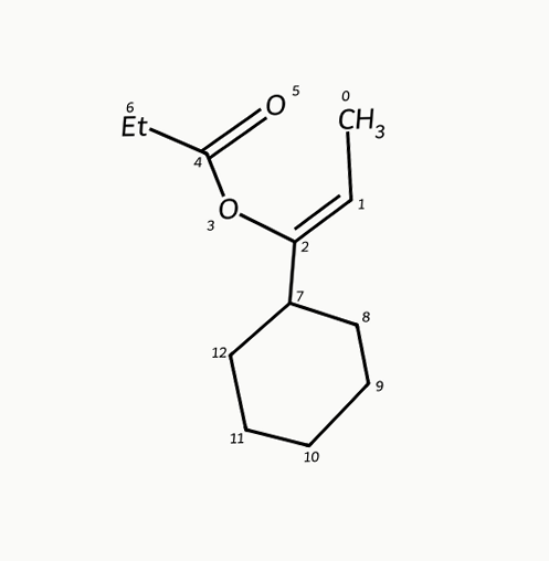 CC=C(OC(=O)CC)C1CCCCC1